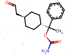 CC(OC(N)=O)(c1ccccc1)[C@H]1CC[C@H](CC=O)CC1